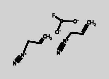 C=CC[N+]#N.C=CC[N+]#N.[O-]B([O-])F